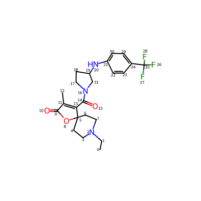 CCN1CCC2(CC1)OC(=O)C(C)=C2C(=O)N1CCC(Nc2ccc(C(F)(F)F)cc2)C1